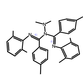 Cc1ccc(/C(=N\c2c(C)cccc2C)N(/C(=N/c2c(C)cccc2C)c2ccc(C)cc2)N(C)C)cc1